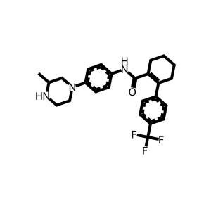 CC1CN(c2ccc(NC(=O)C3=C(c4ccc(C(F)(F)F)cc4)CCCC3)cc2)CCN1